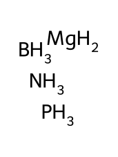 B.N.P.[MgH2]